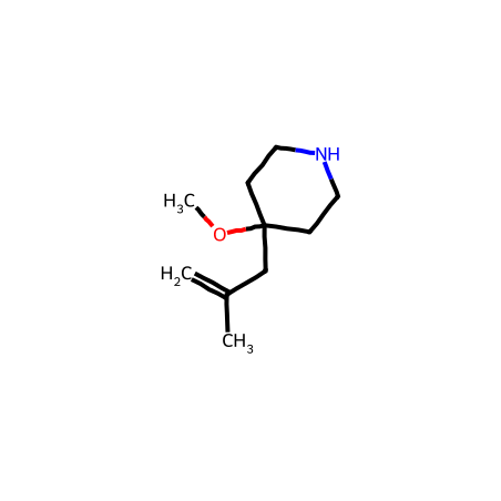 C=C(C)CC1(OC)CCNCC1